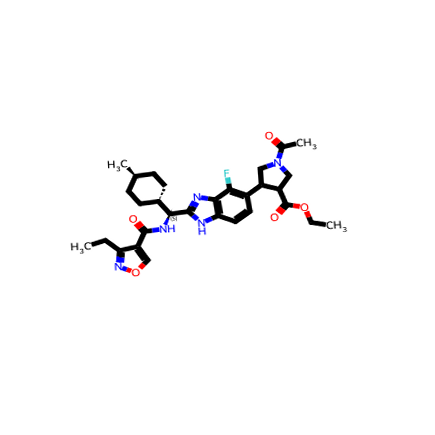 CCOC(=O)C1CN(C(C)=O)CC1c1ccc2[nH]c([C@@H](NC(=O)c3conc3CC)[C@H]3CC[C@H](C)CC3)nc2c1F